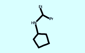 CCC(NC1CCCC1)C(C)C